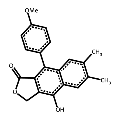 COc1ccc(-c2c3c(c(O)c4cc(C)c(C)cc24)COC3=O)cc1